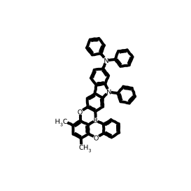 Cc1cc(C)c2c3c1Oc1ccccc1B3c1cc3c(cc1O2)c1ccc(N(c2ccccc2)c2ccccc2)cc1n3-c1ccccc1